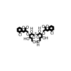 O=c1oc2cccc(Cl)c2cc1COC1[C@@H](O)C(CO)O[C@@H](S[C@@H]2OC(CO)[C@H](O)C(OCc3cc4c(Cl)cccc4oc3=O)[C@@H]2O)[C@@H]1O